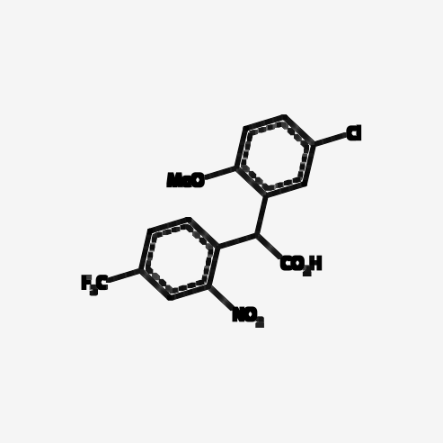 COc1ccc(Cl)cc1C(C(=O)O)c1ccc(C(F)(F)F)cc1[N+](=O)[O-]